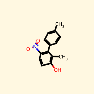 Cc1ccc(-c2c([N+](=O)[O-])ccc(O)c2C)cc1